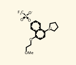 COCCOc1ccc([S+]2CCCC2)c2ccccc12.O=S(=O)([O-])C(F)(F)F